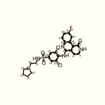 O=c1[nH]ccc2c(Nc3c(Cl)cc(S(=O)(=O)NCCN4CCCC4)cc3Cl)nc3ccc(F)cc3c12